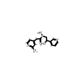 CCCN(CC(O)c1cccnc1)C(=O)Cc1ccnc(C(F)(F)F)c1